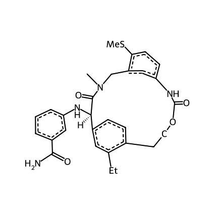 CCc1cc2ccc1CCOC(=O)Nc1ccc(SC)c(c1)CN(C)C(=O)[C@@H]2Nc1cccc(C(N)=O)c1